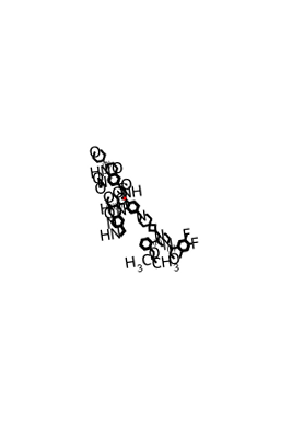 CC(C)Oc1ccccc1[C@@H]1CN([C@H]2COCc3cc(F)c(F)cc32)CCN1C1CC2(CCN(c3ccc(C(=O)NS(=O)(=O)c4cc5c(c([N+](=O)[O-])c4)N[C@H](C4CCOCC4)CO5)c(N4c5cc6cc[nH]c6nc5O[C@H]5COCC[C@@H]54)c3)CC2)C1